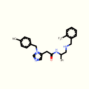 CC(C)C(CNCc1ccccc1C(F)(F)F)NC(=O)Cc1cncn1Cc1ccc(C#N)cc1